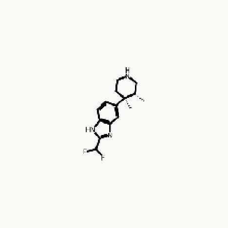 C[C@H]1CNCC[C@]1(C)c1ccc2[nH]c(C(F)F)nc2c1